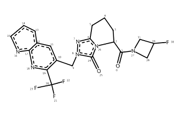 O=C(C1CCCc2nn(Cc3cc4cccnc4nc3C(F)(F)F)c(=O)n21)N1CC(F)C1